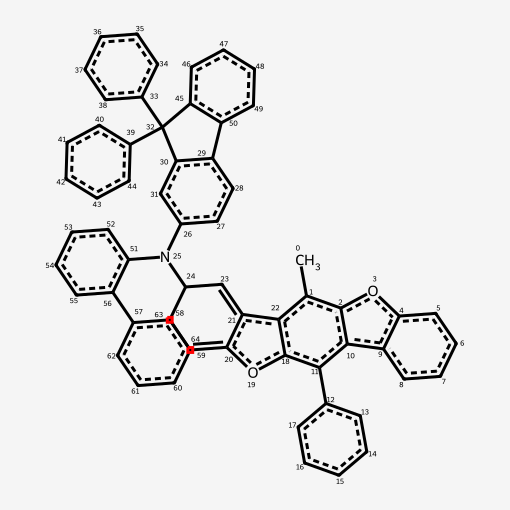 Cc1c2oc3ccccc3c2c(-c2ccccc2)c2oc3c(c12)=CC(N(c1ccc2c(c1)C(c1ccccc1)(c1ccccc1)c1ccccc1-2)c1ccccc1-c1ccccc1)CC=3